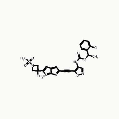 CC(OC(=O)Nc1cnoc1C#CC1=NC2=NC(C3(C(=O)O)CN(S(C)(=O)=O)C3)=CC2=C1)c1ccccc1Cl